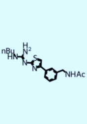 CCCCN/C(N)=N/c1nc(-c2cccc(CNC(C)=O)c2)cs1